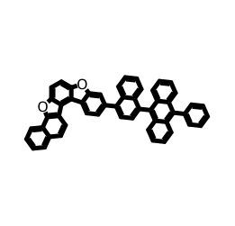 c1ccc(-c2c3ccccc3c(-c3ccc(-c4ccc5c(c4)oc4ccc6oc7c8ccccc8ccc7c6c45)c4ccccc34)c3ccccc23)cc1